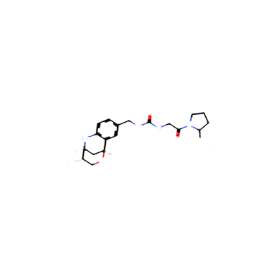 O=C(NCC(=O)N1CCCC1C(F)(F)F)NCc1ccc2c(c1)[C@H]1C[C@H](N2)[C@H](O)CO1